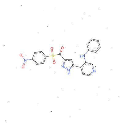 O=C(c1cc(-c2ccncc2Nc2ccccc2)[nH]n1)S(=O)(=O)c1ccc([N+](=O)[O-])cc1